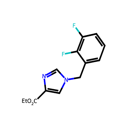 CCOC(=O)c1cn(Cc2cccc(F)c2F)cn1